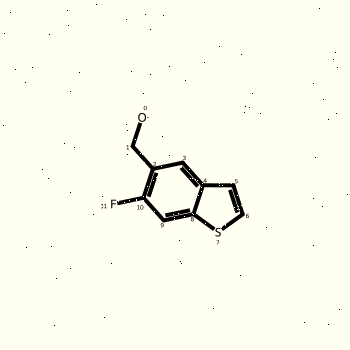 [O]Cc1cc2ccsc2cc1F